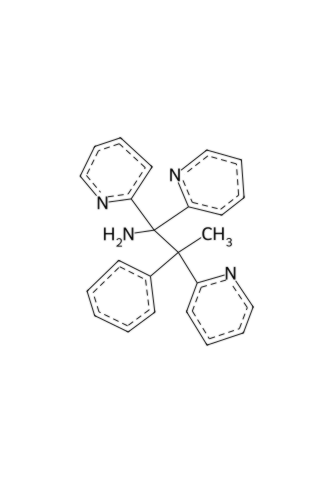 CC(c1ccccc1)(c1ccccn1)C(N)(c1ccccn1)c1ccccn1